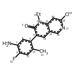 CCn1c(=O)c(-c2cc(N)c(F)cc2C)cc2cnc(Cl)cc21